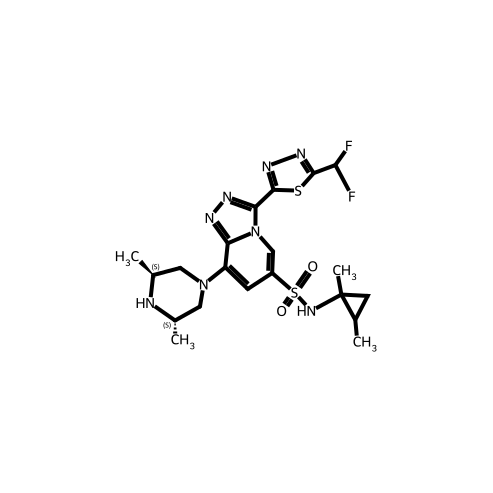 CC1CC1(C)NS(=O)(=O)c1cc(N2C[C@H](C)N[C@@H](C)C2)c2nnc(-c3nnc(C(F)F)s3)n2c1